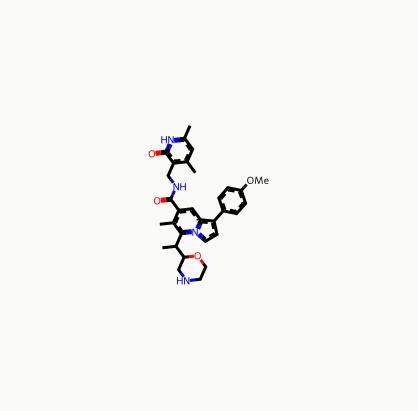 COc1ccc(-c2ccn3c(C(C)C4CNCCO4)c(C)c(C(=O)NCc4c(C)cc(C)[nH]c4=O)cc23)cc1